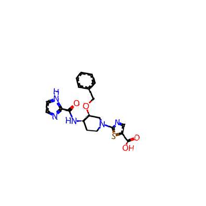 O=C(N[C@@H]1CCN(c2ncc(C(=O)O)s2)C[C@@H]1OCc1ccccc1)c1ncc[nH]1